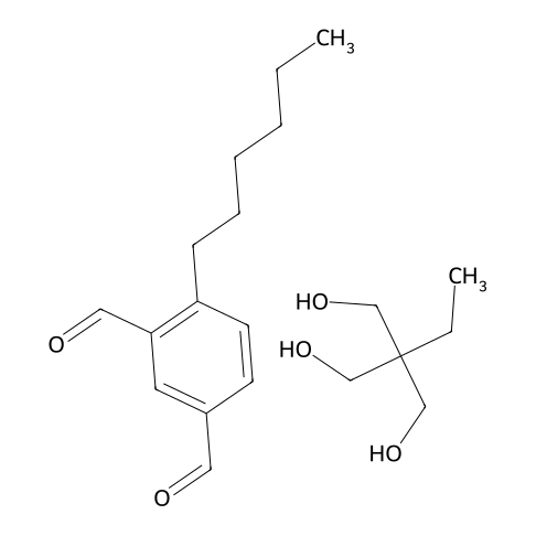 CCC(CO)(CO)CO.CCCCCCc1ccc(C=O)cc1C=O